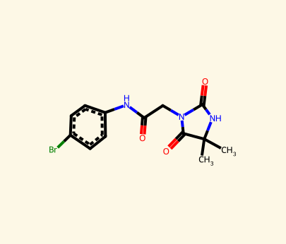 CC1(C)NC(=O)N(CC(=O)Nc2ccc(Br)cc2)C1=O